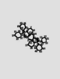 c1cc(N=P(C2CCCCC2)(C2CCCCC2)C2CCCCC2)ccc1N=P(C1CCCCC1)(C1CCCCC1)C1CCCCC1